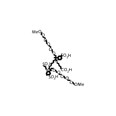 COCCOCCOCCOCCOCCOCCC1(C)C(/C=C/C=C/C=C2/N(CCCS(=O)(=O)O)c3ccc(S(=O)(=O)O)cc3C2(C)CCOCCOCCOCCOCCOCCOC)=[N+](CCCCCC(=O)O)c2ccc(S(=O)(=O)O)cc21